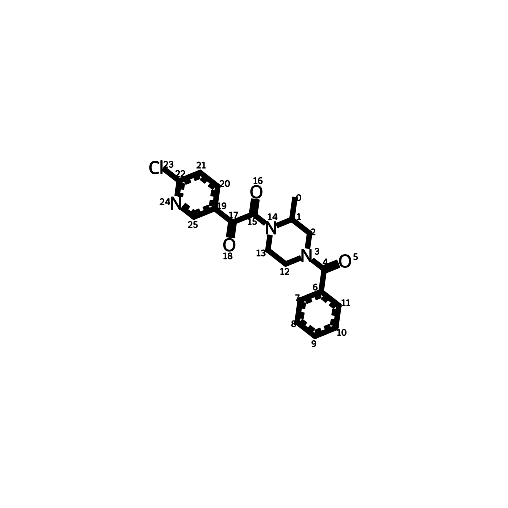 CC1CN(C(=O)c2ccccc2)CCN1C(=O)C(=O)c1ccc(Cl)nc1